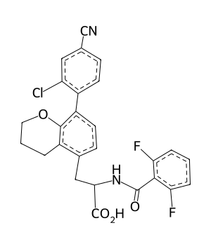 N#Cc1ccc(-c2ccc(CC(NC(=O)c3c(F)cccc3F)C(=O)O)c3c2OCCC3)c(Cl)c1